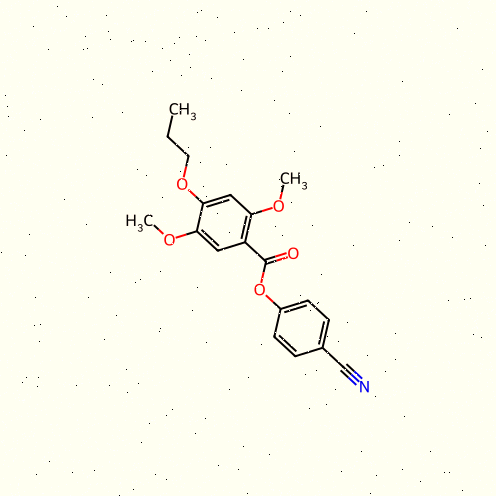 CCCOc1cc(OC)c(C(=O)Oc2ccc(C#N)cc2)cc1OC